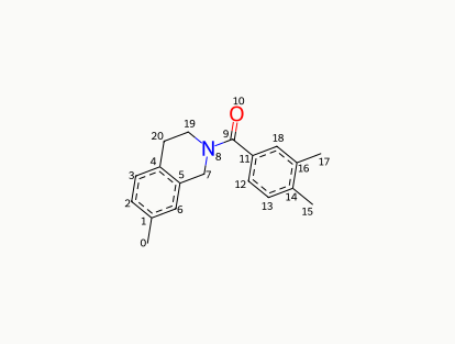 Cc1ccc2c(c1)CN(C(=O)c1ccc(C)c(C)c1)CC2